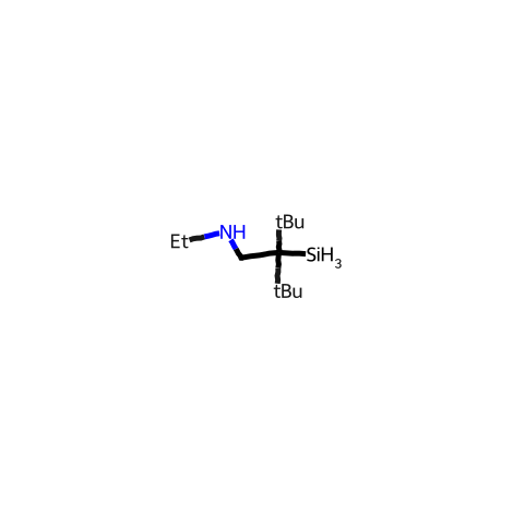 CCNCC([SiH3])(C(C)(C)C)C(C)(C)C